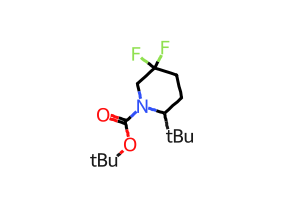 CC(C)(C)OC(=O)N1CC(F)(F)CCC1C(C)(C)C